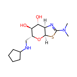 CN(C)C1=N[C@@H]2[C@@H](O)[C@H](O)[C@@H](CNC3CCCC3)O[C@@H]2S1